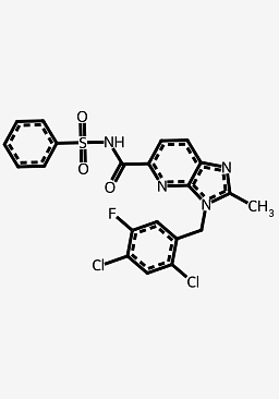 Cc1nc2ccc(C(=O)NS(=O)(=O)c3ccccc3)nc2n1Cc1cc(F)c(Cl)cc1Cl